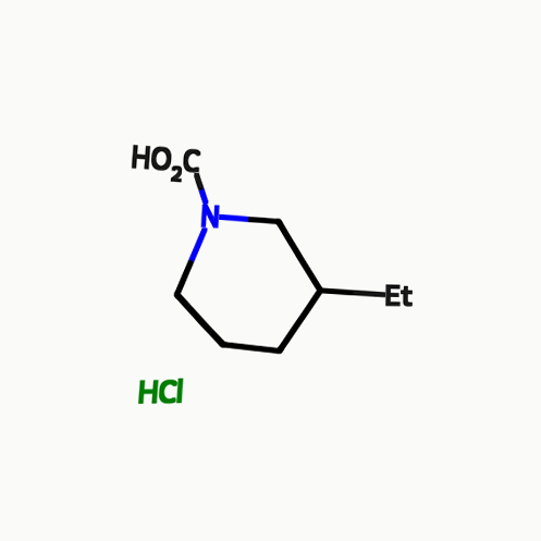 CCC1CCCN(C(=O)O)C1.Cl